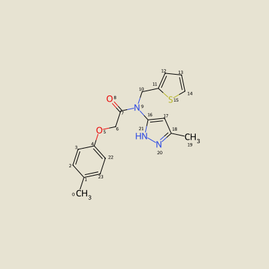 Cc1ccc(OCC(=O)N(Cc2cccs2)c2cc(C)n[nH]2)cc1